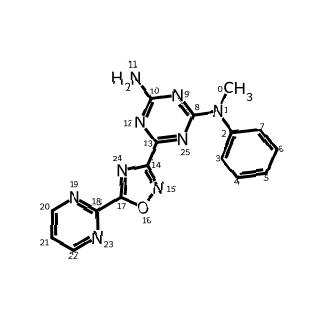 CN(c1ccccc1)c1nc(N)nc(-c2noc(-c3ncccn3)n2)n1